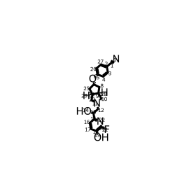 N#Cc1ccc(O[C@H]2C[C@@H]3CN(CC(O)c4ccc(O)c(F)n4)C[C@@H]3C2)cc1